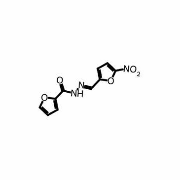 O=C(NN=Cc1ccc([N+](=O)[O-])o1)c1ccco1